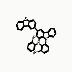 CC(C)c1ccccc1N1c2cc(-c3ccc4sc5ccccc5c4c3)cc3c2B(c2ccccc2-3)c2cccc(C(C)C)c21